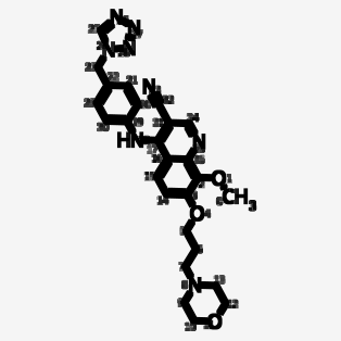 COc1c(OCCCN2CCOCC2)ccc2c(Nc3ccc(Cn4cnnn4)cc3)c(C#N)cnc12